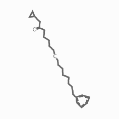 O=C(CCCCCCCCCCCCCCc1ccccc1)CC1CC1